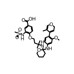 COc1cc(NC2(NC(C)(C)CCOc3ccc(C(=O)O)cc3NS(C)(=O)=O)CCCCO2)ccc1C1=CCOC=C1C